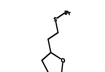 CC(C)SCCC1CCCO1